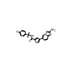 CC(C)(NC(=O)c1cc(-c2ccc3nc(N)nn3c2)cs1)c1ccc(F)cc1